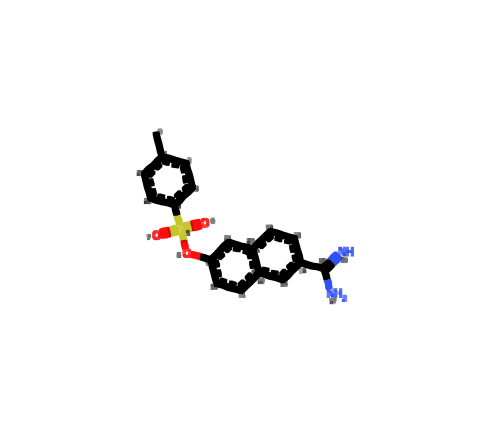 Cc1ccc(S(=O)(=O)Oc2ccc3cc(C(=N)N)ccc3c2)cc1